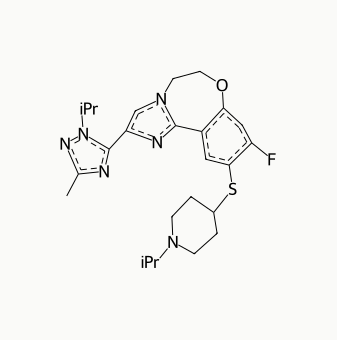 Cc1nc(-c2cn3c(n2)-c2cc(SC4CCN(C(C)C)CC4)c(F)cc2OCC3)n(C(C)C)n1